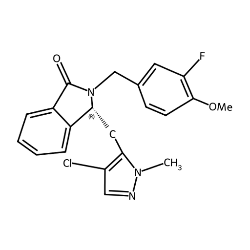 COc1ccc(CN2C(=O)c3ccccc3[C@H]2Cc2c(Cl)cnn2C)cc1F